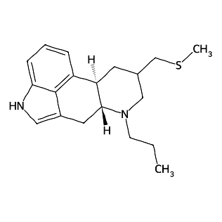 CCCN1CC(CSC)C[C@@H]2c3cccc4[nH]cc(c34)C[C@H]21